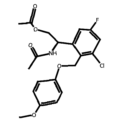 COc1ccc(OCc2c(Cl)cc(F)cc2C(COC(C)=O)NC(C)=O)cc1